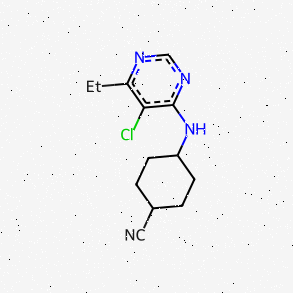 CCc1ncnc(NC2CCC(C#N)CC2)c1Cl